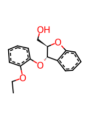 CCOc1ccccc1O[C@H]1c2ccccc2O[C@@H]1CO